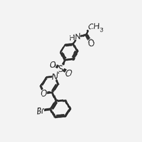 CC(=O)Nc1ccc(S(=O)(=O)N2C=COC(C3=C(Br)C=CCC3)=C2)cc1